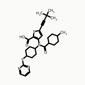 CC1CCC(C(=O)N(c2cc(C#CC(C)(C)C)sc2C(=O)O)C2CCC(Sc3ncccn3)CC2)CC1